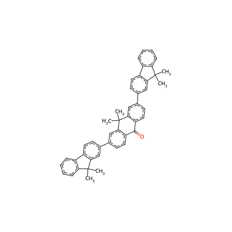 CC1(C)c2cc(-c3ccc4c(c3)C(C)(C)c3ccccc3-4)ccc2C(=O)c2ccc(-c3ccc4c(c3)C(C)(C)c3ccccc3-4)cc21